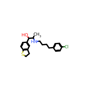 CC(NCCCCc1ccc(Cl)cc1)C(O)c1ccc2c(c1)CCS2